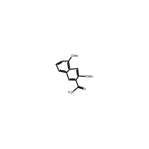 COc1cc2c(OC)cccc2cc1C(N)=O